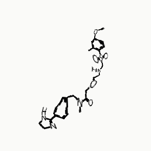 COc1ccc(S(=O)(=O)CNCCOCC(=O)N(C)Cc2ccc(C3=NCCN3)cc2)c(C)c1